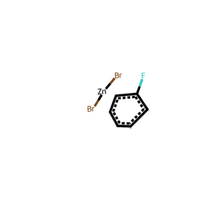 Fc1c[c]ccc1.[Br][Zn][Br]